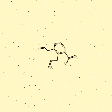 C=CCc1cccc(C(=C)C)c1CC=C